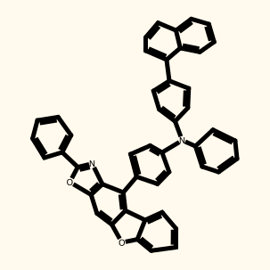 c1ccc(-c2nc3c(-c4ccc(N(c5ccccc5)c5ccc(-c6cccc7ccccc67)cc5)cc4)c4c(cc3o2)oc2ccccc24)cc1